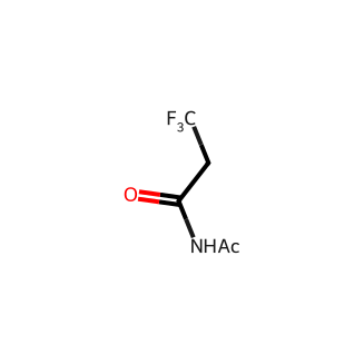 CC(=O)NC(=O)CC(F)(F)F